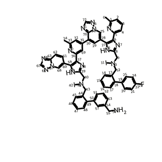 Cc1cccc(-c2nc(CN(I)Cc3ccccc3-c3ccc(F)cc3)[nH]c2-c2cc(-c3cc(C)nc(-c4nc(CN(I)Cc5ccccc5-c5cccc(CN)c5)[nH]c4-c4ccc5ncnn5c4)c3)c3ncnn3c2)n1